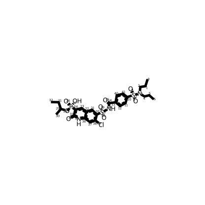 CCCN(CCC)S(=O)(=O)c1ccc(C(=O)NS(=O)(=O)c2cc3cc(P(=O)(O)OC(C)CC)c(=O)[nH]c3cc2Cl)cc1